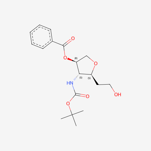 CC(C)(C)OC(=O)N[C@H]1[C@H](CCO)OC[C@@H]1OC(=O)c1ccccc1